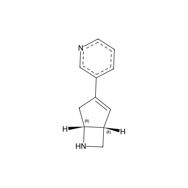 C1=C(c2cccnc2)C[C@H]2NC[C@@H]12